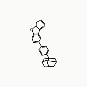 c1ccc2c(c1)oc1ccc(-c3ccc(C45CC6CC(CC(C6)C4)C5)cc3)cc12